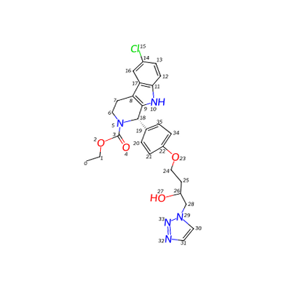 CCOC(=O)N1CCc2c([nH]c3ccc(Cl)cc23)[C@@H]1c1ccc(OCCC(O)Cn2ccnn2)cc1